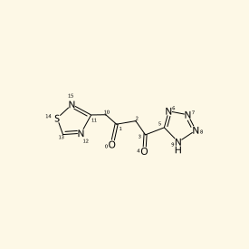 O=C(CC(=O)c1nnn[nH]1)Cc1ncsn1